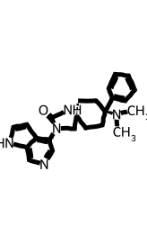 CN(C)[C@]1(c2ccccc2)CC[C@]2(CC1)CN(c1cncc3[nH]ccc13)C(=O)N2